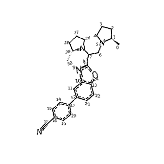 C[C@@H]1CCCN1CC(c1nc2cc(-c3ccc(C#N)cc3)ccc2o1)N1CCC[C@H]1C